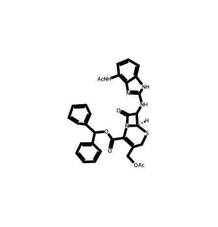 CC(=O)Nc1cccc2[nH]c(NC3C(=O)N4C(C(=O)OC(c5ccccc5)c5ccccc5)=C(COC(C)=O)CS[C@H]34)nc12